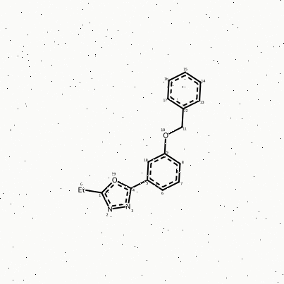 CCc1nnc(-c2cccc(OCc3ccccc3)c2)o1